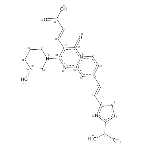 CC(C)c1csc(C=Cc2ccn3c(=O)c(C=CC(=O)O)c(N4CCC[C@@H](O)C4)nc3c2)n1